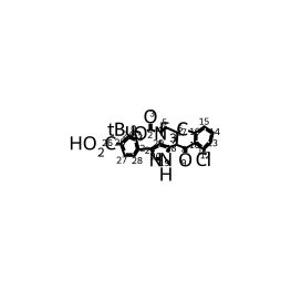 CC(C)(C)OC(=O)N1CCC(C(=O)c2c(Cl)cccc2C(F)(F)F)c2[nH]nc(-c3ccc(C(=O)O)cc3)c21